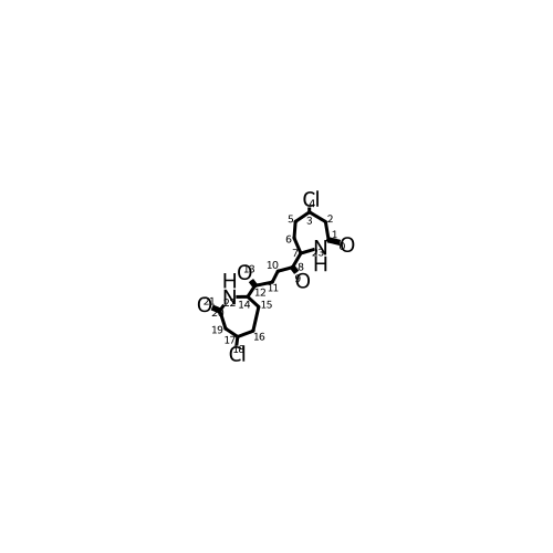 O=C1CC(Cl)CCC(C(=O)CCC(=O)C2CCC(Cl)CC(=O)N2)N1